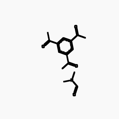 CC(=O)c1cc(C(C)=O)cc(C(C)=O)c1.CN(C)C=O